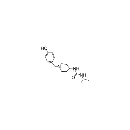 CC(C)NC(=O)NC1CCN(Cc2ccc(O)cc2)CC1